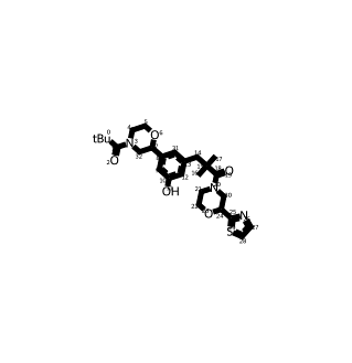 CC(C)(C)C(=O)N1CCOC(c2cc(O)cc(CC(C)(C)C(=O)N3CCOC(c4nccs4)C3)c2)C1